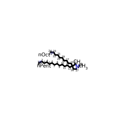 CCCCC/C=C\CCCCCCCCCCCC1(CCCCCCCC/C=C\CCCCCCCC)CCN(C)C1C